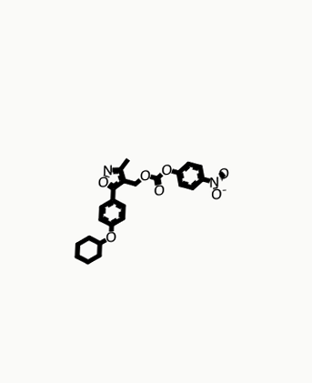 Cc1noc(-c2ccc(OC3CCCCC3)cc2)c1COC(=O)Oc1ccc([N+](=O)[O-])cc1